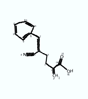 C=C(CCC(C#N)=Cc1ccccc1)C(=O)O